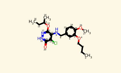 CCCCOc1cc(CNc2c(OC(C)CC)n[nH]c(=O)c2Cl)ccc1OC